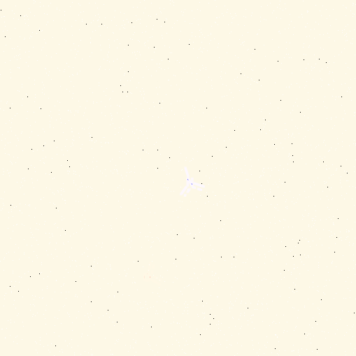 c1ccc(-c2ccc(-n3c4ccc5oc6ccccc6c5c4c4cccc(-c5ccccc5)c43)c(-c3ccccc3)c2)cc1